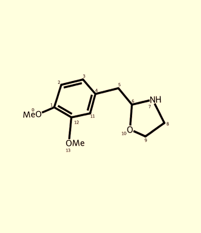 COc1ccc(CC2NCCO2)cc1OC